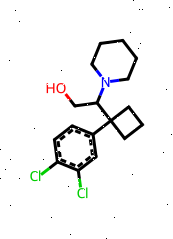 OCC(N1CCCCC1)C1(c2ccc(Cl)c(Cl)c2)CCC1